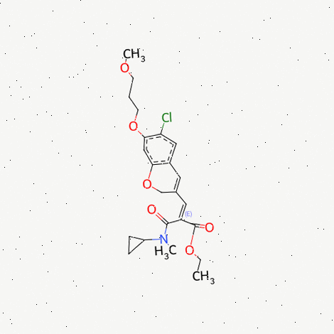 CCOC(=O)/C(=C/C1=Cc2cc(Cl)c(OCCCOC)cc2OC1)C(=O)N(C)C1CC1